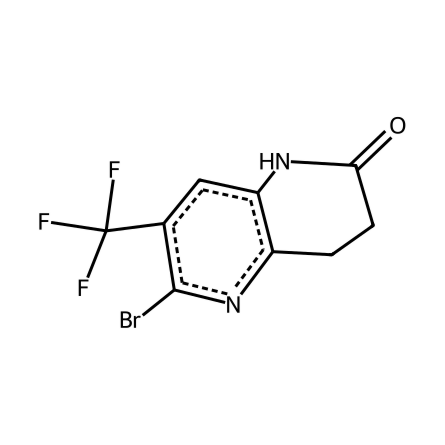 O=C1CCc2nc(Br)c(C(F)(F)F)cc2N1